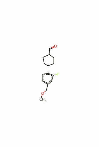 COCc1ccc([C@H]2CC[C@H](C=O)CC2)c(F)c1